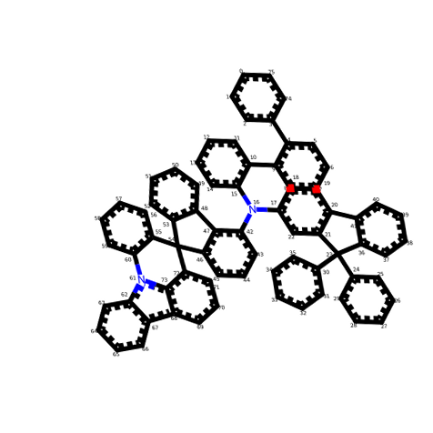 c1ccc(-c2ccccc2-c2ccccc2N(c2ccc3c(c2)C(c2ccccc2)(c2ccccc2)c2ccccc2-3)c2cccc3c2-c2ccccc2C32c3ccccc3-n3c4ccccc4c4cccc2c43)cc1